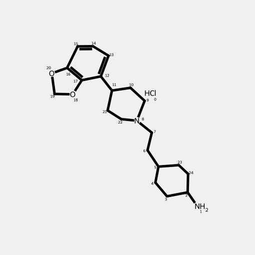 Cl.NC1CCC(CCN2CCC(c3cccc4c3OCO4)CC2)CC1